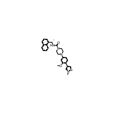 COc1cc(N2CCN(C(=O)N[C@@H](C)c3cccc4ccccc34)CC2)ccc1-c1cnn(C)c1